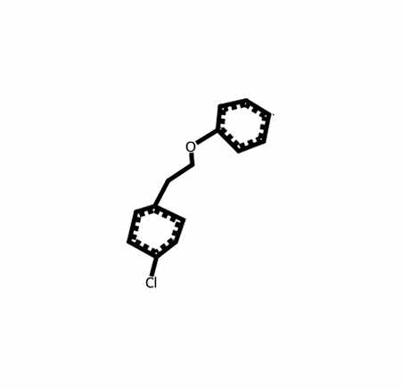 Clc1ccc(CCOc2cc[c]cc2)cc1